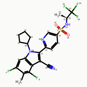 Cc1c(F)cc2c(c1F)c(C#N)c(-c1ccc(S(=O)(=O)N[C@@H](C)C(F)(F)F)cn1)n2C1CCCC1